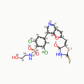 O=C1NC(=S)SC1=Cc1cc2cncc(-c3cc(Cl)c(S(=O)(=O)NCCO)c(Cl)c3)c2o1